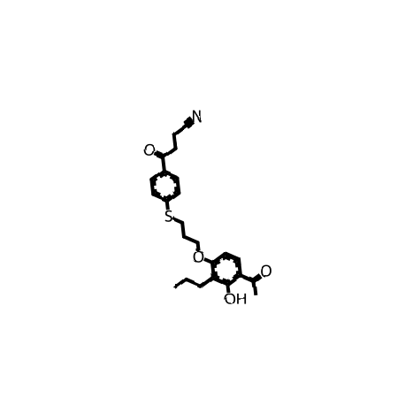 CCCc1c(OCCCSc2ccc(C(=O)CCC#N)cc2)ccc(C(C)=O)c1O